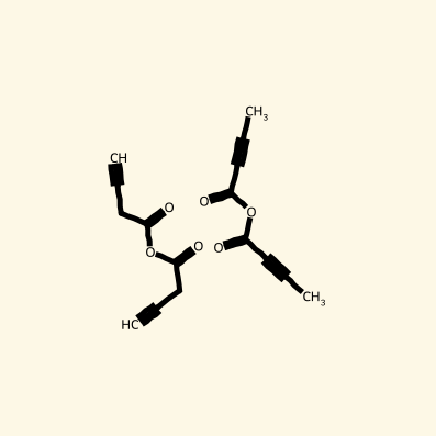 C#CCC(=O)OC(=O)CC#C.CC#CC(=O)OC(=O)C#CC